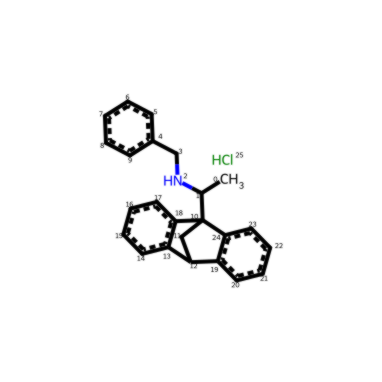 CC(NCc1ccccc1)C12CC(c3ccccc31)c1ccccc12.Cl